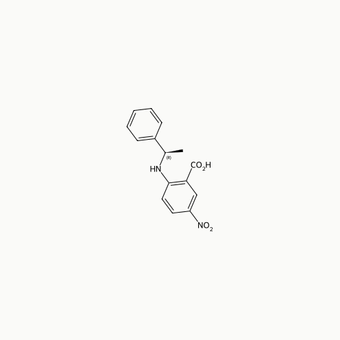 C[C@@H](Nc1ccc([N+](=O)[O-])cc1C(=O)O)c1ccccc1